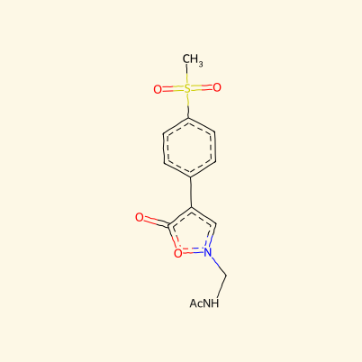 CC(=O)NCn1cc(-c2ccc(S(C)(=O)=O)cc2)c(=O)o1